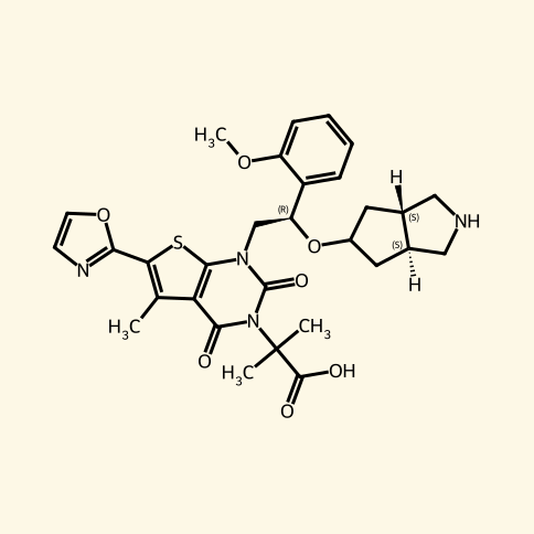 COc1ccccc1[C@H](Cn1c(=O)n(C(C)(C)C(=O)O)c(=O)c2c(C)c(-c3ncco3)sc21)OC1C[C@@H]2CNC[C@H]2C1